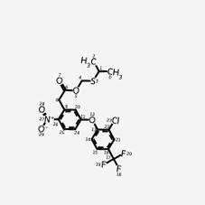 CC(C)SCOC(=O)Cc1cc(Oc2ccc(C(F)(F)F)cc2Cl)ccc1[N+](=O)[O-]